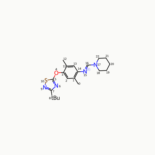 Cc1cc(Oc2nc(C(C)(C)C)ns2)c(C)cc1/N=C/N1CCCCC1